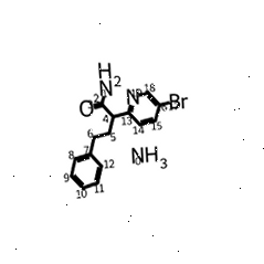 N.NC(=O)C(CCc1ccccc1)c1ccc(Br)cn1